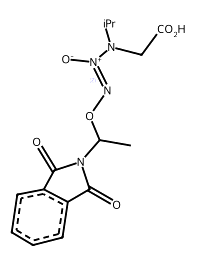 CC(O/N=[N+](\[O-])N(CC(=O)O)C(C)C)N1C(=O)c2ccccc2C1=O